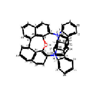 c1cc2ccc(-n3c4ccccc4c4ccccc43)c3oc4c(-n5c6ccccc6c6ccccc65)ccc5cccc(c(c1)c23)c54